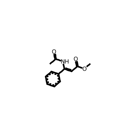 COC(=O)C=C(NC(C)=O)c1ccccc1